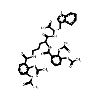 CC(=O)Oc1cccc(C(=O)NCCCC(NC(=O)c2cccc(OC(C)=O)c2OC(C)=O)C(=O)N[C@@H](Cc2c[nH]c3ccccc23)C(=O)O)c1OC(C)=O